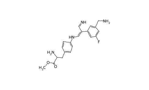 COC(=O)C(N)Cc1ccc(N/C=C(\C=N)c2cc(F)cc(CN)c2)cc1